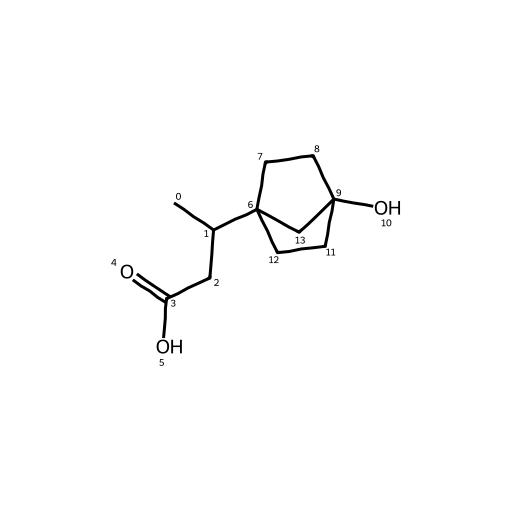 CC(CC(=O)O)C12CCC(O)(CC1)C2